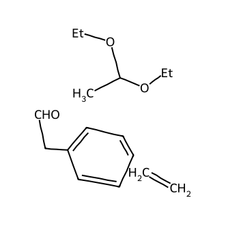 C=C.CCOC(C)OCC.O=CCc1ccccc1